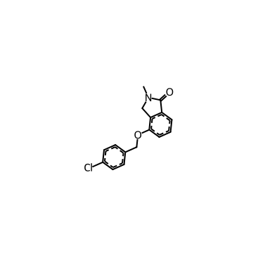 CN1Cc2c(OCc3ccc(Cl)cc3)cccc2C1=O